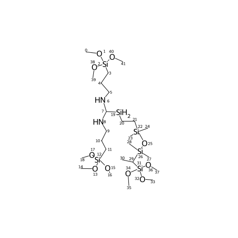 CO[Si](CCCNC(NCCC[Si](OC)(OC)OC)[SiH2]CC[Si](C)(C)O[Si](C)(C)C(C)[Si](OC)(OC)OC)(OC)OC